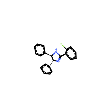 Fc1ccccc1C1=N[C@H](c2ccccc2)[C@@H](c2ccccc2)N1